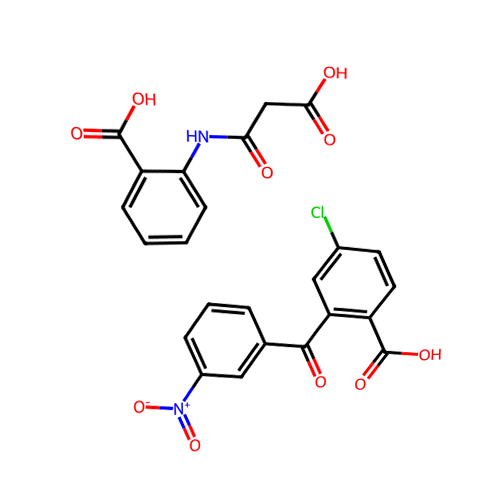 O=C(O)CC(=O)Nc1ccccc1C(=O)O.O=C(O)c1ccc(Cl)cc1C(=O)c1cccc([N+](=O)[O-])c1